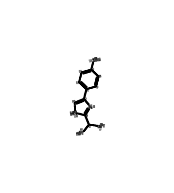 CCCC(CCC)c1nc(-c2ccc(C(C)(C)C)cc2)c[nH]1